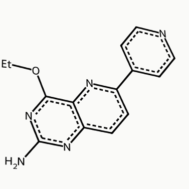 CCOc1nc(N)nc2ccc(-c3ccncc3)nc12